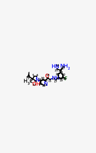 C[C@@]1(C2CC2)CCN(c2ccnc(C(=O)CNCc3cc(F)cc(/C(C=N)=C/N)c3)c2)C1O